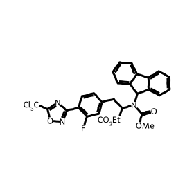 CCOC(=O)C(Cc1ccc(-c2noc(C(Cl)(Cl)Cl)n2)c(F)c1)N(C(=O)OC)C1c2ccccc2-c2ccccc21